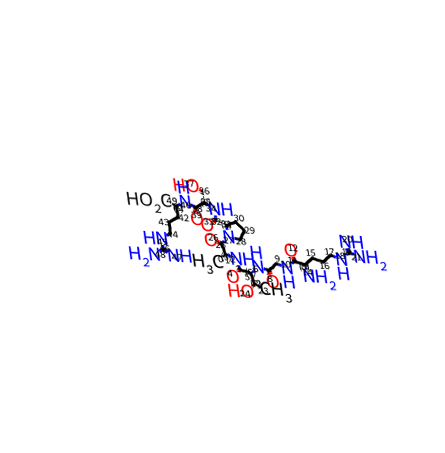 C[C@H](NC(=O)[C@@H](NC(=O)CNC(=O)[C@@H](N)CCCNC(=N)N)[C@@H](C)O)C(=O)N1CCC[C@H]1C(=O)N[C@@H](CO)C(=O)N[C@@H](CCCNC(=N)N)C(=O)O